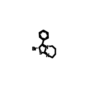 [Br-].c1ccc(C2=[N+]3CCCCN=C3SC2)cc1